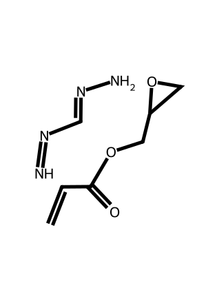 C=CC(=O)OCC1CO1.N=NC=NN